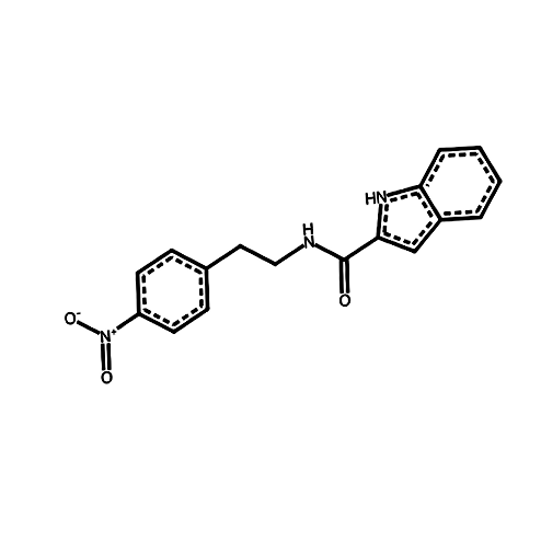 O=C(NCCc1ccc([N+](=O)[O-])cc1)c1cc2ccccc2[nH]1